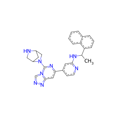 CC(Nc1cc(-c2cc3nncn3c(N3CC4CC3CN4)n2)ccn1)c1cccc2ccccc12